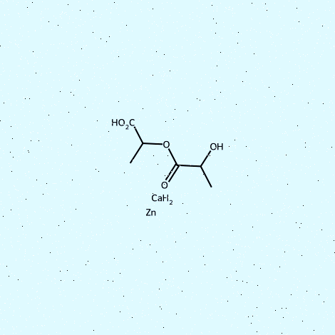 CC(O)C(=O)OC(C)C(=O)O.[CaH2].[Zn]